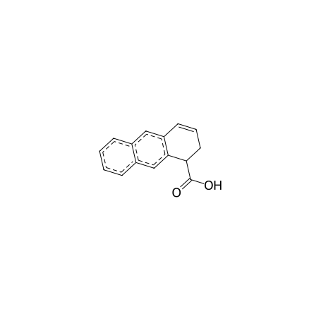 O=C(O)C1CC=Cc2cc3ccccc3cc21